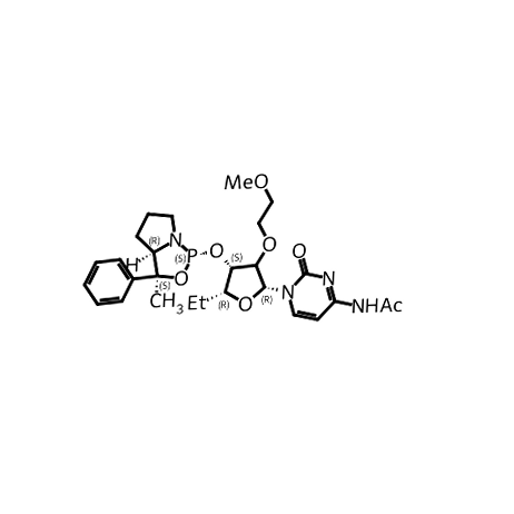 CC[C@H]1O[C@@H](n2ccc(NC(C)=O)nc2=O)C(OCCOC)[C@H]1O[P@]1O[C@@](C)(c2ccccc2)[C@H]2CCCN21